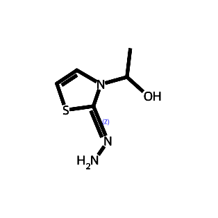 CC(O)n1ccs/c1=N\N